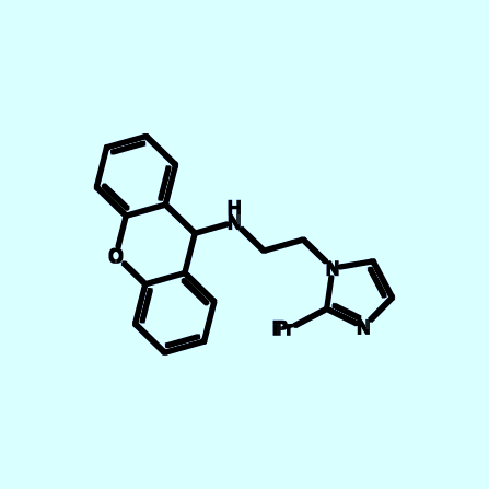 CC(C)c1nccn1CCNC1c2ccccc2Oc2ccccc21